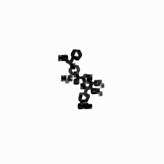 COc1ccc(-c2nc3c(C(=O)N4CCN(/C(=C/O)c5ccccc5)C[C@H]4C)cnn3c(C(F)(F)F)c2C)cc1